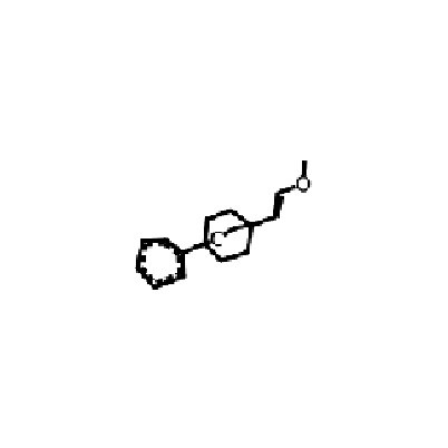 CO/C=C/C12CCC(c3ccccc3)(CC1)CC2